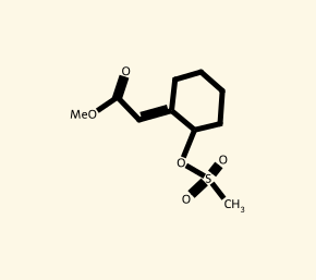 COC(=O)/C=C1\CCCCC1OS(C)(=O)=O